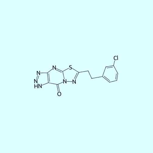 O=c1c2[nH]nnc2nc2sc(CCc3cccc(Cl)c3)nn12